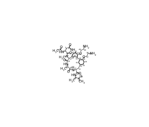 CC(=O)N[C@@H](CC(N)=O)C(=O)N(C)[C@@H]1C(=O)N[C@@H](C)C(=O)N[C@H](C(=O)N[C@@H](C)C(C)=O)Cc2ccc(OCCN)c(c2)-c2cc1ccc2OCCN